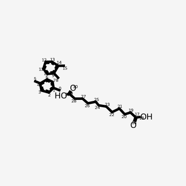 Cc1ccc(C)cc1.Cc1ccccc1C.O=C(O)CCCCCCCCCCC(=O)O